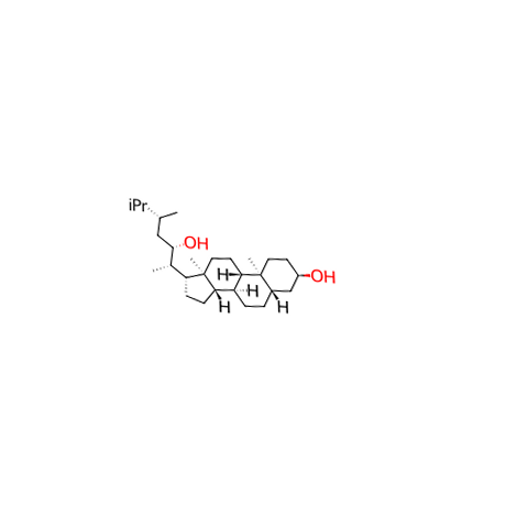 CC(C)[C@H](C)C[C@H](O)[C@@H](C)[C@H]1CC[C@H]2[C@@H]3CC[C@H]4C[C@H](O)CC[C@]4(C)[C@H]3CC[C@]12C